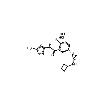 Cc1nnc(NC(=O)c2cc([C@@H]3C[C@H]3NC3CCC3)ccc2F)s1.Cl.Cl